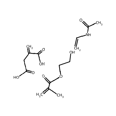 C=C(C)C(=O)OCCO.C=C(CC(=O)O)C(=O)O.C=CNC(C)=O